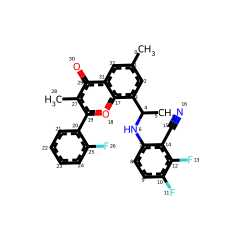 Cc1cc(C(C)Nc2ccc(F)c(F)c2C#N)c2oc(-c3ccccc3F)c(C)c(=O)c2c1